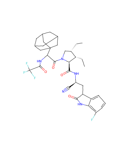 CC[C@H]1CN(C(=O)C(NC(=O)C(F)(F)F)C23CC4CC(CC(C4)C2)C3)[C@H](C(=O)N[C@H](C#N)CC2C(=O)Nc3c(F)cccc32)[C@H]1CC